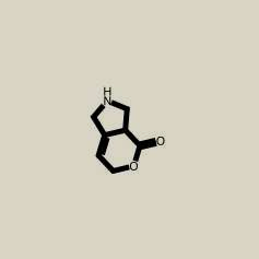 O=C1OCC=C2CNCC12